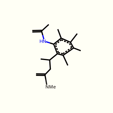 C=C(C)Nc1c(C)c(C)c(C)c(C)c1C(C)CC(=C)NC